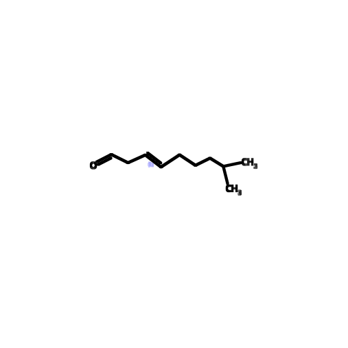 CC(C)CCC/C=C/CC=O